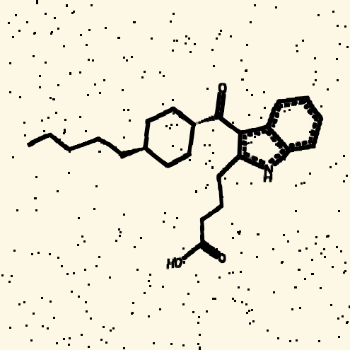 CCCCC[C@H]1CC[C@H](C(=O)c2c(CCCC(=O)O)[nH]c3ccccc23)CC1